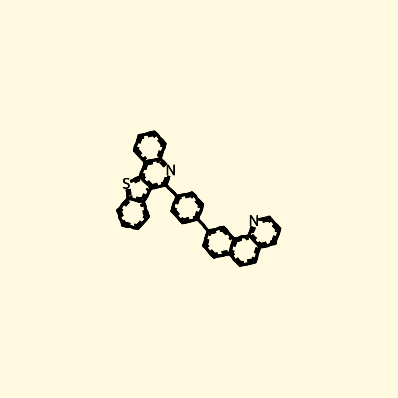 c1cnc2c(c1)ccc1ccc(-c3ccc(-c4nc5ccccc5c5sc6ccccc6c45)cc3)cc12